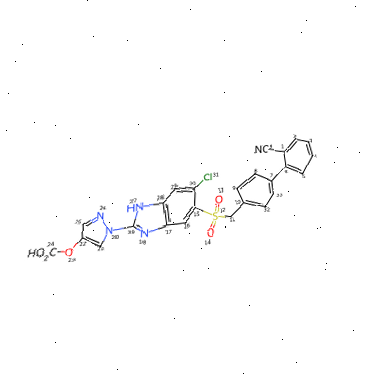 N#Cc1ccccc1-c1ccc(CS(=O)(=O)c2cc3nc(-n4cc(OC(=O)O)cn4)[nH]c3cc2Cl)cc1